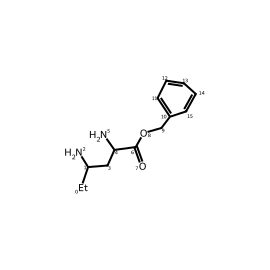 CCC(N)CC(N)C(=O)OCc1ccccc1